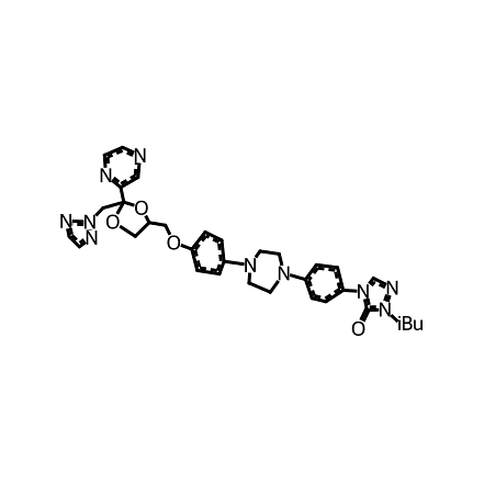 CCC(C)n1ncn(-c2ccc(N3CCN(c4ccc(OCC5COC(Cn6nccn6)(c6cnccn6)O5)cc4)CC3)cc2)c1=O